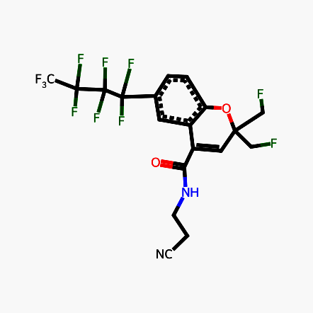 N#CCCNC(=O)C1=CC(CF)(CF)Oc2ccc(C(F)(F)C(F)(F)C(F)(F)C(F)(F)F)cc21